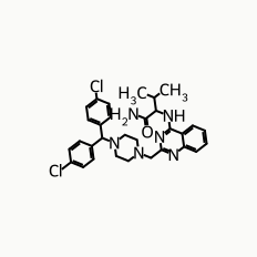 CC(C)C(Nc1nc(CN2CCN(C(c3ccc(Cl)cc3)c3ccc(Cl)cc3)CC2)nc2ccccc12)C(N)=O